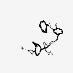 CC(C)Oc1ccc(C(C)(C)COCc2ccc(F)c(Oc3ccccc3)c2)cc1